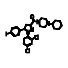 O=C(C1=NN(c2ccc(Cl)cc2Cl)C(c2ccc(I)cc2)C1)N1CCN(C2CCCCC2)CC1